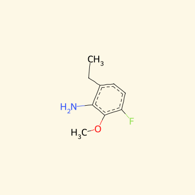 CCc1ccc(F)c(OC)c1N